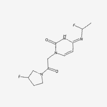 CC(F)/N=c1/ccn(CC(=O)N2CCC(F)C2)c(=O)[nH]1